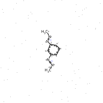 C/N=N/c1cccc(/N=N/C)c1